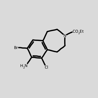 CCOC(=O)N1CCc2cc(Br)c(N)c(Cl)c2CC1